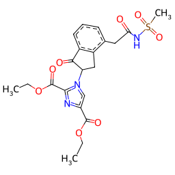 CCOC(=O)c1cn(C2Cc3c(CC(=O)NS(C)(=O)=O)cccc3C2=O)c(C(=O)OCC)n1